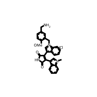 COc1ccc(CN)cc1Cn1cc(C2=C(c3cn(C)c4ccccc34)C(=O)NC2=O)c2ccccc21.Cl